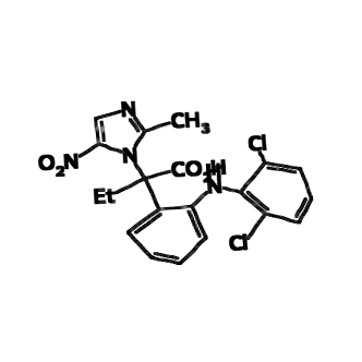 CCC(C(=O)O)(c1ccccc1Nc1c(Cl)cccc1Cl)n1c([N+](=O)[O-])cnc1C